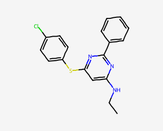 CCNc1cc(Sc2ccc(Cl)cc2)nc(-c2ccccc2)n1